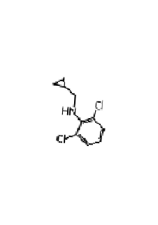 Clc1cccc(Cl)c1NCC1CC1